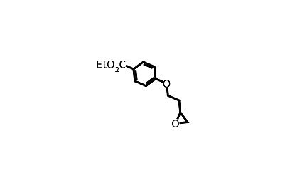 CCOC(=O)c1ccc(OCCC2CO2)cc1